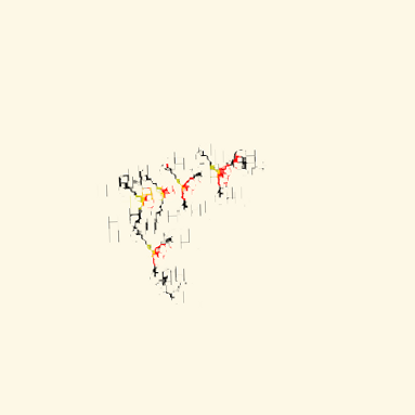 CC(C)CCCCCC(S)(CCCCCC(C)C)C(=O)[O-].CC(C)CCCCCC(S)(CCCCCC(C)C)C(=O)[O-].CC(C)CCCCCSC(CCCCCC(C)C)(CCCCCC(C)C)C(=O)[O-].CC(C)CCCCCSC(CCCCCC(C)C)(CCCCCC(C)C)C(=O)[O-].CC(C)CCCCCSC(CCCCCC(C)C)(CCCCCC(C)C)C(=O)[O-].CCC[CH2][Sn+2][CH2]CCC.CCC[CH2][Sn+3]